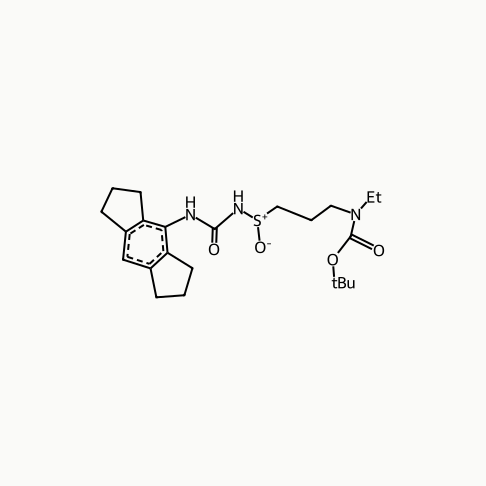 CCN(CCC[S+]([O-])NC(=O)Nc1c2c(cc3c1CCC3)CCC2)C(=O)OC(C)(C)C